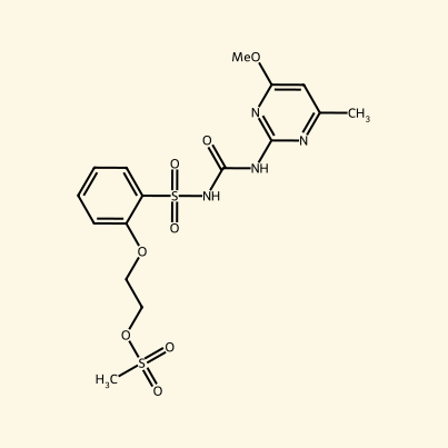 COc1cc(C)nc(NC(=O)NS(=O)(=O)c2ccccc2OCCOS(C)(=O)=O)n1